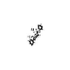 C/C(=N\c1ccccc1)n1cc[n+](/C(C)=N/c2ccccc2)c1